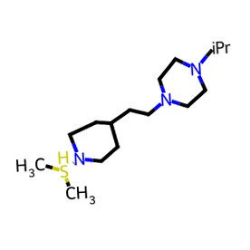 CC(C)N1CCN(CCC2CCN([SH](C)C)CC2)CC1